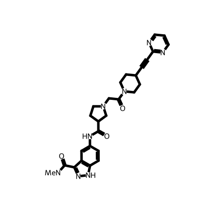 CNC(=O)c1n[nH]c2ccc(NC(=O)C3CCN(CC(=O)N4CCC(C#Cc5ncccn5)CC4)C3)cc12